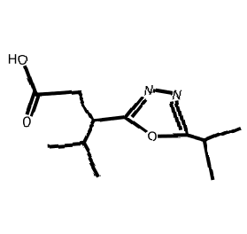 CC(C)c1nnc(C(CC(=O)O)C(C)C)o1